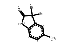 CCC1(CC)C(=O)Nc2ccc(C)cc21